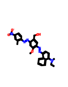 CCN(C)c1ccc(N=Nc2cc(CO)c(N=Nc3ccc([N+](=O)[O-])cc3C)cc2OC)c2ccccc12